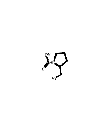 O=[C]O.OCC1CCCN1